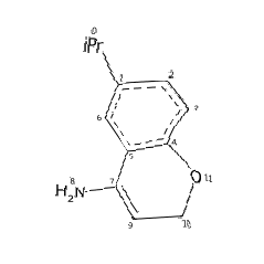 CC(C)c1ccc2c(c1)C(N)=CCO2